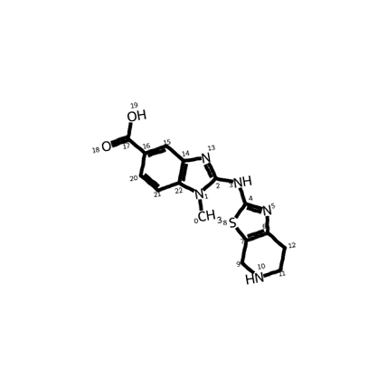 Cn1c(Nc2nc3c(s2)CNCC3)nc2cc(C(=O)O)ccc21